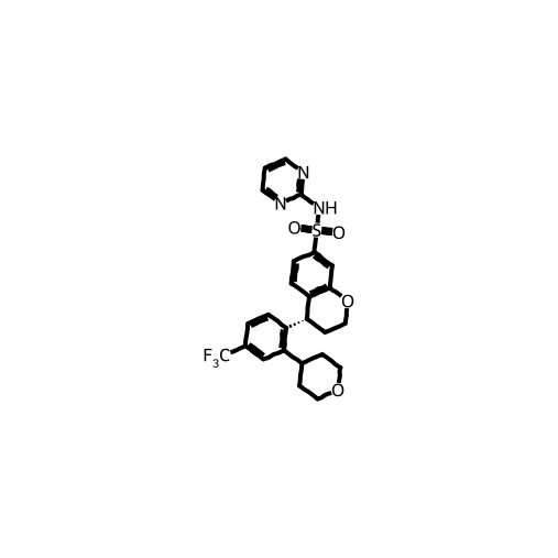 O=S(=O)(Nc1ncccn1)c1ccc2c(c1)OCC[C@@H]2c1ccc(C(F)(F)F)cc1C1CCOCC1